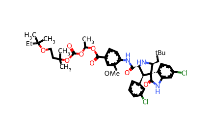 CCC(C)(C)OCCC(C)(C)OC(=O)OC(C)OC(=O)c1ccc(NC(=O)[C@@H]2N[C@@H](CC(C)(C)C)[C@@]3(C(=O)Nc4cc(Cl)ccc43)[C@H]2c2cccc(Cl)c2)c(OC)c1